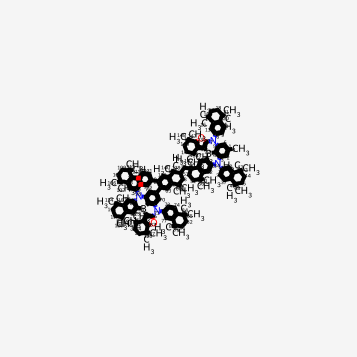 Cc1cc2c3c(c1)N(c1ccc4c(c1)C(C)(C)CCC4(C)C)c1oc4c(c1B3c1cc3c(cc1N2c1ccc2c(c1)C(C)(C)CCC2(C)C)C(C)(C)CCC3(C)CC1CC(C)(C)c2cc(-c3cc5c6c(c3)N(c3ccc7c(c3)C(C)(C)CCC7(C)C)c3oc7c(c3B6c3cc6c(cc3N5c3ccc5c(c3)C(C)(C)CCC5(C)C)C(C)(C)CCC6(C)C)C(C)(C)CCC7(C)C)c(-c3ccccc3)cc2C1(C)C)C(C)(C)CCC4(C)C